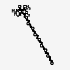 CC(C)C(C(N)=O)N(C)CCOCCOCCOCCOCCOCCOCCOCCOCCC=O